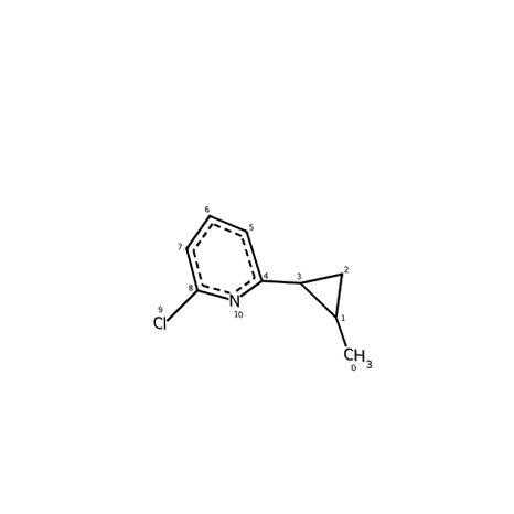 CC1CC1c1cccc(Cl)n1